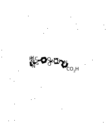 CC(Sc1ncc[nH]1)c1ccc(OC(=O)N2CCN(Cc3ccc(C(=O)O)cn3)CC2)cc1